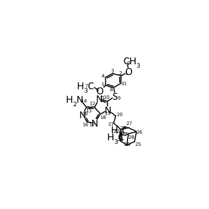 COc1ccc(OC)c(Sc2nc3c(N)ncnc3n2CCC2=CC3CC(C2)C3(C)C)c1